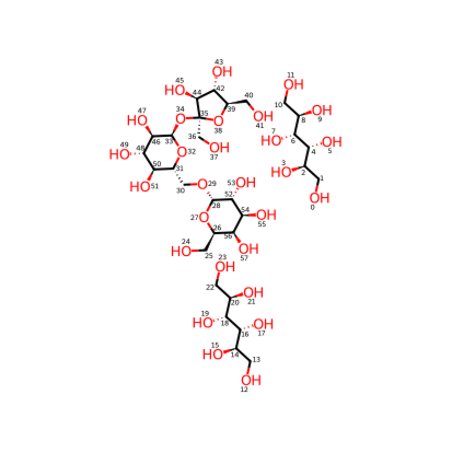 OC[C@@H](O)[C@@H](O)[C@H](O)[C@H](O)CO.OC[C@@H](O)[C@@H](O)[C@H](O)[C@H](O)CO.OC[C@H]1O[C@H](OC[C@H]2O[C@H](O[C@]3(CO)O[C@H](CO)[C@@H](O)[C@@H]3O)[C@H](O)[C@@H](O)[C@@H]2O)[C@H](O)[C@@H](O)[C@H]1O